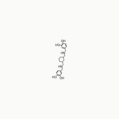 Oc1ccc(CNCC2CCCC(CNCc3ccc(O)c(O)c3)C2)cc1O